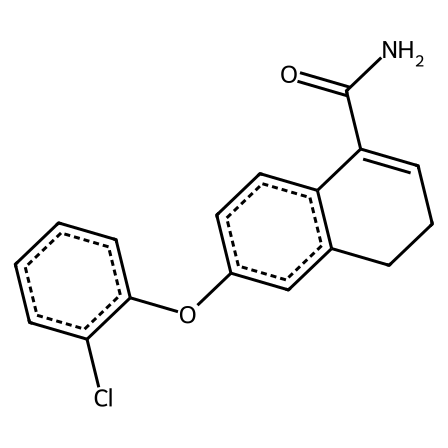 NC(=O)C1=CCCc2cc(Oc3ccccc3Cl)ccc21